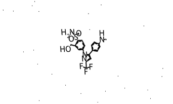 CNc1ccc(-c2cc(C(F)(F)F)nn2-c2ccc(S(N)(=O)=O)c(CO)c2)cc1